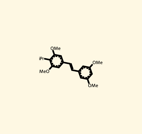 COc1cc(/C=C/c2cc(OC)c(C(C)C)c(OC)c2)cc(OC)c1